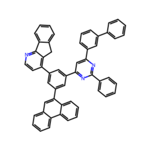 c1ccc(-c2cccc(-c3cc(-c4cc(-c5ccnc6c5Cc5ccccc5-6)cc(-c5cc6ccccc6c6ccccc56)c4)nc(-c4ccccc4)n3)c2)cc1